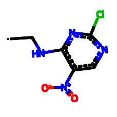 [CH2]CNc1nc(Cl)ncc1[N+](=O)[O-]